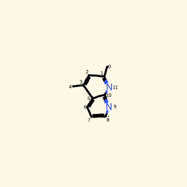 Cc1cc(C)c2cc[c]nc2n1